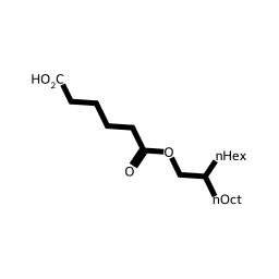 CCCCCCCCC(CCCCCC)COC(=O)CCCCC(=O)O